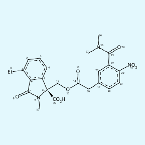 CCc1cccc2c1C(=O)N(C)[C@]2(COC(=O)Cc1ccc([N+](=O)[O-])c(C(=O)N(C)C)c1)C(=O)O